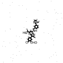 Cc1nn2c(NCc3cccc(-c4nccn4C)c3)cc(C(C)O)nc2c1-c1ccc(Cl)c(C=O)c1